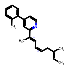 CC=C(C)C/C=C\C=C(/C)c1cc(-c2ccccc2C)ccn1